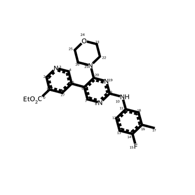 CCOC(=O)c1cncc(-c2cnc(Nc3ccc(F)c(C)c3)nc2N2CCOCC2)c1